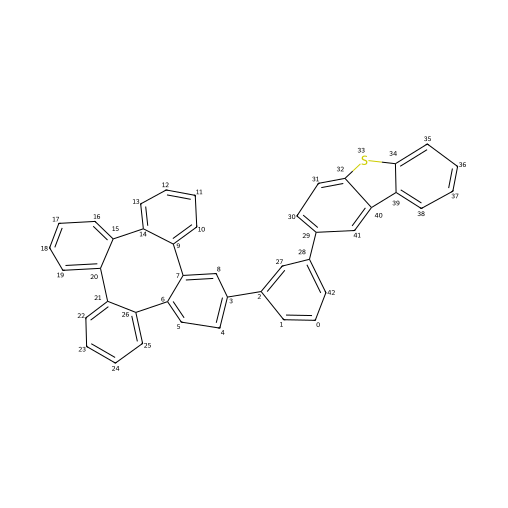 c1cc(-c2ccc3c(c2)-c2ccccc2-c2ccccc2-c2ccccc2-3)cc(-c2ccc3sc4ccccc4c3c2)c1